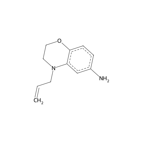 C=CCN1CCOc2ccc(N)cc21